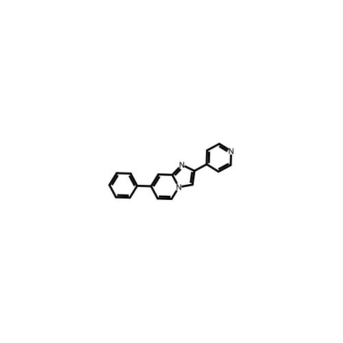 c1ccc(-c2ccn3cc(-c4ccncc4)nc3c2)cc1